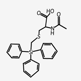 CC(=O)NC(CSC[Si](c1ccccc1)(c1ccccc1)c1ccccc1)C(=O)O